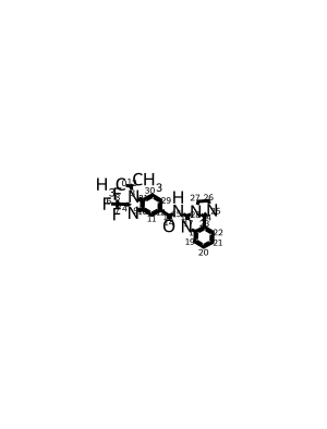 CC(C)n1c(C(F)(F)F)nc2cc(C(=O)NC3=Nc4ccccc4C4=NCCN34)ccc21